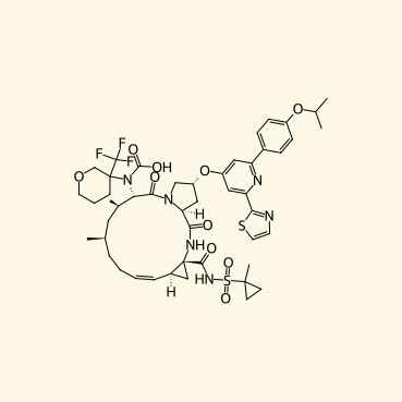 CC(C)Oc1ccc(-c2cc(O[C@@H]3C[C@H]4C(=O)N[C@]5(C(=O)NS(=O)(=O)C6(C)CC6)C[C@H]5C=CCC[C@@H](C)C[C@@H](C)[C@H](N(C(=O)O)C5(C(F)(F)F)CCCOC5)C(=O)N4C3)cc(-c3nccs3)n2)cc1